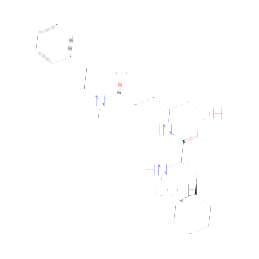 CN(CCc1ccccc1)C(=O)CCC(CO)NC(=O)C(CC1CCCCC1)NC(=O)O